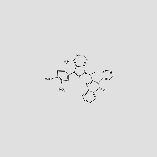 COc1ccc(-c2nn(C(C)c3nc4ccccc4c(=O)n3-c3ccccc3)c3ncnc(N)c23)cc1[N+](=O)[O-]